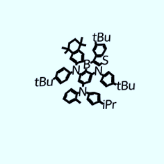 Cc1ccccc1N(c1ccc(C(C)C)cc1)c1cc2c3c(c1)N(c1ccc(C(C)(C)C)cc1)c1sc4ccc(C(C)(C)C)cc4c1B3c1cc3c(cc1N2c1ccc(C(C)(C)C)cc1)C(C)(C)CCC3(C)C